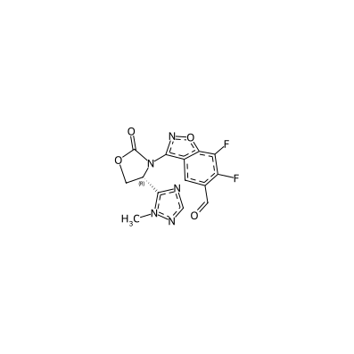 Cn1ncnc1[C@@H]1COC(=O)N1c1noc2c(F)c(F)c(C=O)cc12